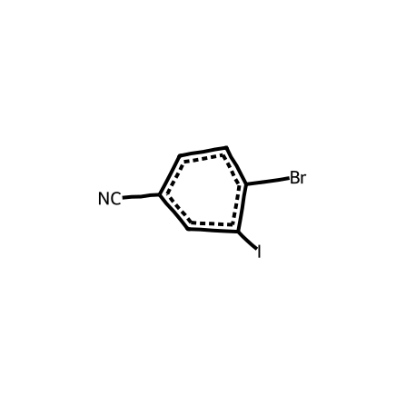 N#Cc1ccc(Br)c(I)c1